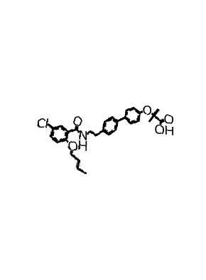 CCCCOc1ccc(Cl)cc1C(=O)NCCc1ccc(-c2ccc(OC(C)(C)C(=O)O)cc2)cc1